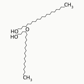 CCCCCCCCCCCCCCCCCC(CCCO)OC(CCCO)CCCCCCCCCCCCCCCCC